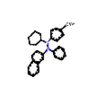 COc1ccc(N(C2CCCCC2)N(c2ccccc2)c2ccc3ccccc3c2)cc1